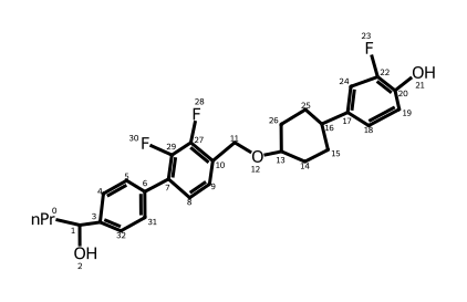 CCCC(O)c1ccc(-c2ccc(COC3CCC(c4ccc(O)c(F)c4)CC3)c(F)c2F)cc1